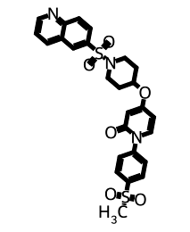 CS(=O)(=O)c1ccc(-n2ccc(OC3CCN(S(=O)(=O)c4ccc5ncccc5c4)CC3)cc2=O)cc1